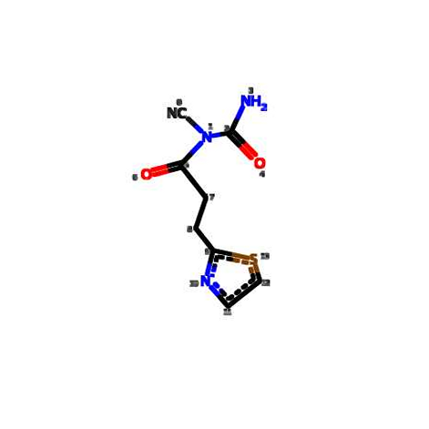 N#CN(C(N)=O)C(=O)[CH]Cc1nccs1